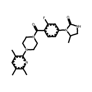 Cc1cc(C)c(N2CCN(C(=O)c3ccc(N4C(=O)NCC4C)cc3F)CC2)nc1C